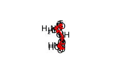 COc1ccc(/C(C=N)=C(/O)c2cc(OC)c(OC)c(OC)c2)cc1OC(=O)N1CCN(CCNC(=O)O[C@H]2CC[C@H](Nc3cc(-n4nc(C(F)(F)F)c5c4CC(C)(C)CC5=O)ccc3C(N)=O)CC2)CC1